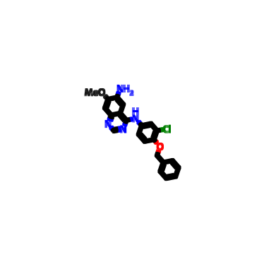 COc1cc2ncnc(Nc3ccc(OCc4ccccc4)c(Cl)c3)c2cc1N